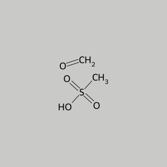 C=O.CS(=O)(=O)O